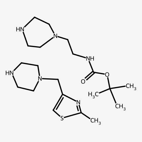 CC(C)(C)OC(=O)NCCN1CCNCC1.Cc1nc(CN2CCNCC2)cs1